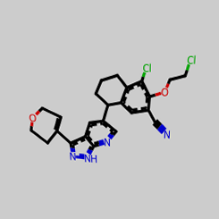 N#Cc1cc2c(c(Cl)c1OCCCl)CCCC2c1cnc2[nH]nc(C3=CCOCC3)c2c1